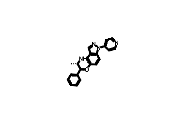 C[C@H](N)C(Oc1ccc2c(cnn2-c2ccncc2)c1)c1ccccc1